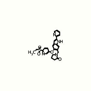 CCS(=O)(=O)c1ccc(Oc2cc3cc(-c4ccccn4)[nH]c3cc2CN2CCCC2=O)cn1